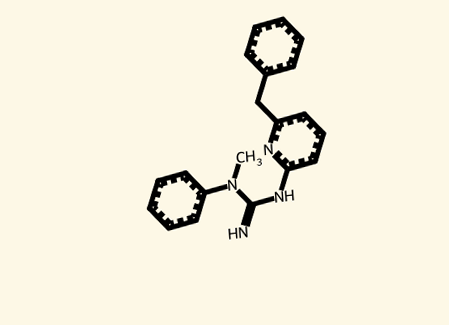 CN(C(=N)Nc1cccc(Cc2ccccc2)n1)c1ccccc1